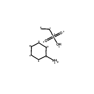 CCS(=O)(=O)O.NC1CCCCC1